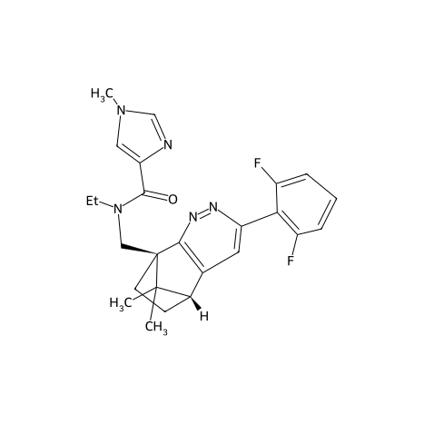 CCN(C[C@@]12CC[C@@H](c3cc(-c4c(F)cccc4F)nnc31)C2(C)C)C(=O)c1cn(C)cn1